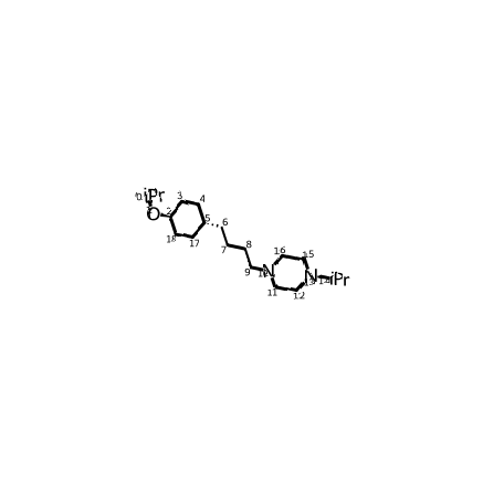 CC(C)O[C@H]1CC[C@H](CCCCN2CCN(C(C)C)CC2)CC1